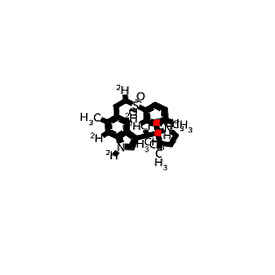 [2H]c1c(S(=O)(=O)C([2H])Cc2c(C)c([2H])c3c(c(C(C)(C)[C@]4(C)N(C)CCC4(C)C)cn3[2H])c2[2H])ccc(C)c1C